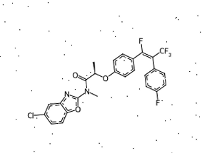 C[C@@H](Oc1ccc(C(F)=C(c2ccc(F)cc2)C(F)(F)F)cc1)C(=O)N(C)c1nc2cc(Cl)ccc2o1